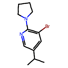 CC(C)c1cnc(N2CCCC2)c(Br)c1